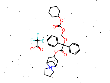 O=C(OCOC(C(=O)OC1CC2CCC(C1)[N+]21CCCC1)(c1ccccc1)c1ccccc1)OC1CCCCC1.O=C([O-])C(F)(F)F